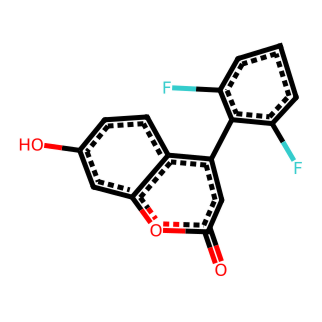 O=c1cc(-c2c(F)cccc2F)c2ccc(O)cc2o1